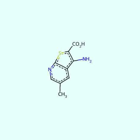 Cc1cnc2sc(C(=O)O)c(N)c2c1